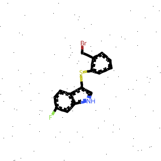 Fc1ccc2c(Sc3ccccc3CBr)c[nH]c2c1